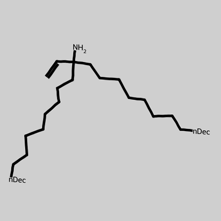 C=CC(N)(CCCCCCCCCCCCCCCCCC)CCCCCCCCCCCCCCCCCC